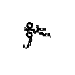 CCCC[C@H](OCC[C@]1(C(=O)N2CCC(OCOC)CC2)C=CC=CC1)C(=O)O